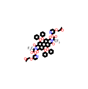 O=C(Oc1cc(OCC2CO2)ccn1)C(N1C(=O)c2cc(Oc3ccccc3)c3c4c(Oc5ccccc5)cc5c6c(cc(Oc7ccccc7)c(c7c(Oc8ccccc8)cc(c2c37)C1=O)c64)C(=O)N(C(C(=O)Oc1cc(OCC2CO2)ccn1)C(F)(F)F)C5=O)C(F)(F)F